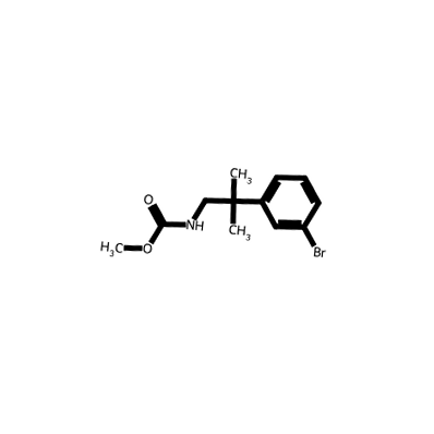 COC(=O)NCC(C)(C)c1cccc(Br)c1